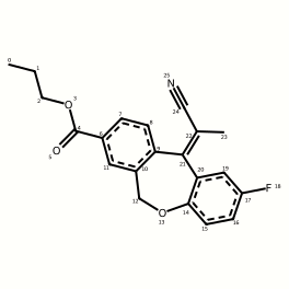 CCCOC(=O)c1ccc2c(c1)COc1ccc(F)cc1/C2=C(\C)C#N